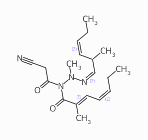 CC/C=C\C=C(/C)C(=O)N(C(=O)CC#N)N(C)/N=C\C(C)/C=C\CC